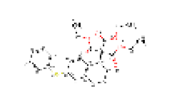 CCOC(=O)C(C(=O)OCC)(C(=O)OCC)[C@H]1CCCc2cc(Sc3ccccc3)ccc21